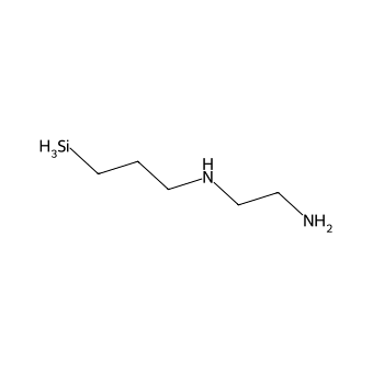 NCCNCCC[SiH3]